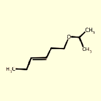 CC/C=C/CCOC(C)C